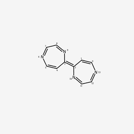 C1=CC(=C2C=CN=CC=N2)N=CC=N1